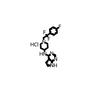 Cl.Fc1ccc(C(F)(F)CN2CCC(Nc3ncnc4[nH]ccc34)CC2)cc1